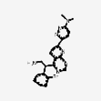 CN(C)c1ccc(-c2ccc3c(C(CN)c4ccccc4Br)ncnc3n2)nn1